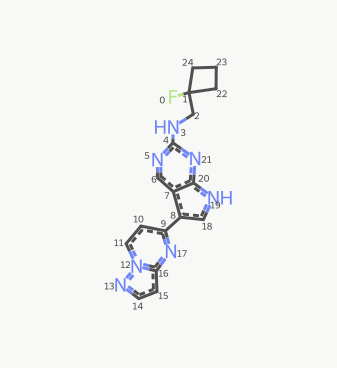 FC1(CNc2ncc3c(-c4ccn5nccc5n4)c[nH]c3n2)CCC1